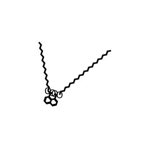 CCCCCCCCCCCCCCCCCCCCCCOC(=O)c1cccc2cccc(C(=O)OCCCCCCCCCCCCCCCC)c12